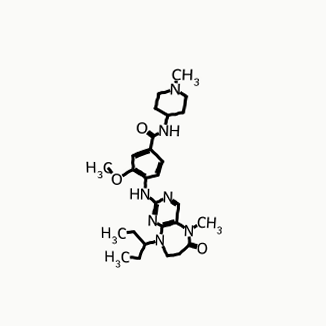 CCC(CC)N1CCC(=O)N(C)c2cnc(Nc3ccc(C(=O)NC4CCN(C)CC4)cc3OC)nc21